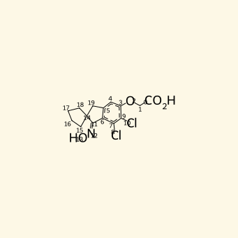 O=C(O)COc1cc2c(c(Cl)c1Cl)C(=NO)C1(CCCC1)C2